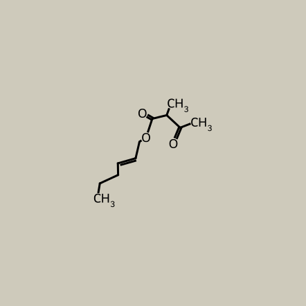 CCCC=CCOC(=O)C(C)C(C)=O